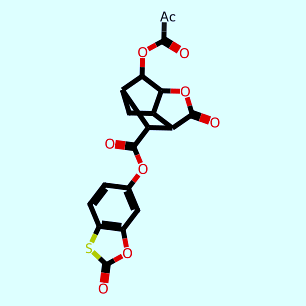 CC(=O)C(=O)OC1C2CC3C1OC(=O)C3C2C(=O)Oc1ccc2sc(=O)oc2c1